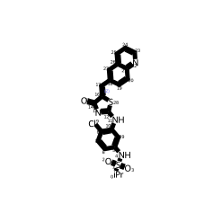 CC(C)S(=O)(=O)Nc1ccc(Cl)c(NC2=NC(=O)/C(=C/c3ccc4ncccc4c3)S2)c1